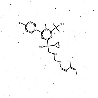 CC/C=C(C)\N=N/OCNCC(O)(c1cc(C(C)(C)O)c(F)c(-c2ccc(F)cc2)n1)C1CC1